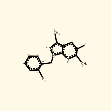 Cc1nc2c(cc1F)c(C)nn2Cc1ccccc1F